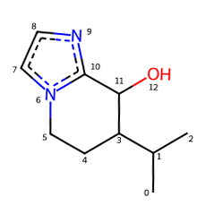 CC(C)C1CCn2ccnc2C1O